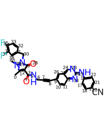 Cc1c(C(=O)NCC#Cc2ccc3nc(Nc4ccc(C#N)cc4)ncc3c2)c(=O)n(Cc2ccc(F)c(F)c2)n1C